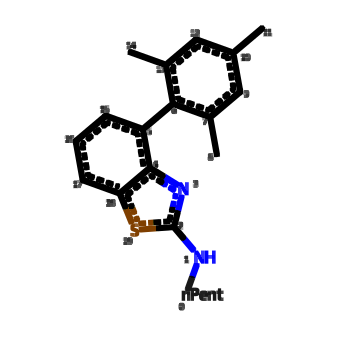 CCCCCNc1nc2c(-c3c(C)cc(C)cc3C)cccc2s1